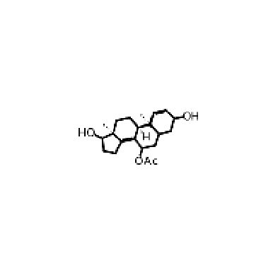 CC(=O)OC1CC2CC(O)C=C[C@]2(C)[C@@H]2CC[C@@]3(C)C(=C12)CCC3O